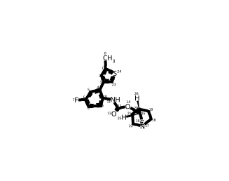 Cc1cc(-c2cc(F)ccc2NC(=O)O[C@H]2C[N@]3CC[C@H]2CC3)cs1